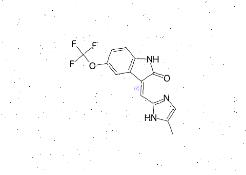 Cc1cnc(/C=C2\C(=O)Nc3ccc(OC(F)(F)F)cc32)[nH]1